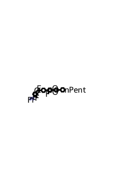 CCCCCC1CCC(C2COC(c3ccc(C4CCC(C(F)(F)Oc5ccc(/C(F)=C/F)c(F)c5)CC4)c(F)c3)OC2)CC1